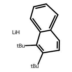 CC(C)(C)c1ccc2ccccc2c1C(C)(C)C.[LiH]